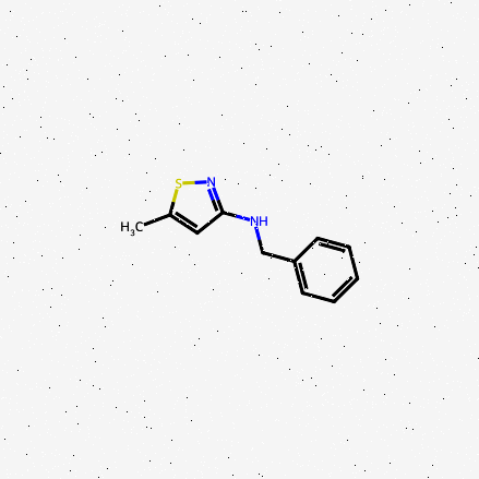 Cc1cc(NCc2ccccc2)ns1